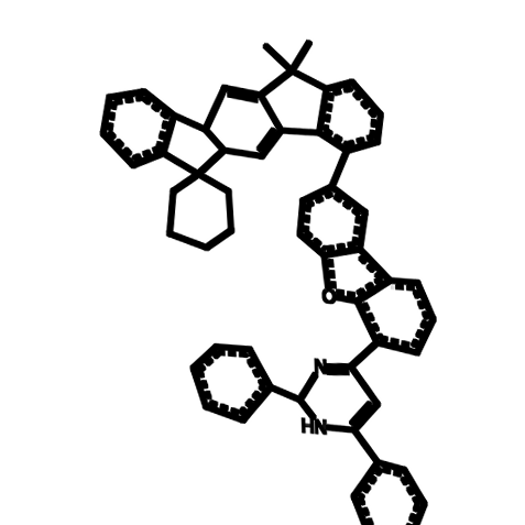 CC1(C)C2=CC3c4ccccc4C4(CCCCC4)C3C=C2c2c(-c3ccc4oc5c(C6=NC(c7ccccc7)NC(c7ccccc7)=C6)cccc5c4c3)cccc21